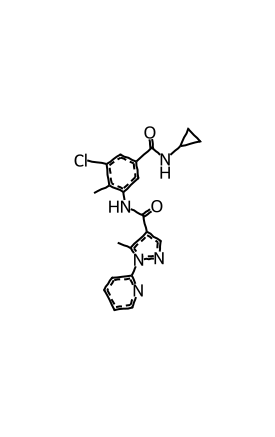 Cc1c(Cl)cc(C(=O)NC2CC2)cc1NC(=O)c1cnn(-c2ccccn2)c1C